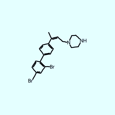 CC(=CCN1CCNCC1)c1ccc(-c2ccc(Br)cc2Br)cc1